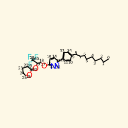 CCCCCCCCCc1ccc(-c2ccc(OCC(OC3CCCCO3)C(F)(F)F)nn2)cc1